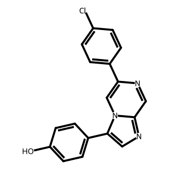 Oc1ccc(-c2cnc3cnc(-c4ccc(Cl)cc4)cn23)cc1